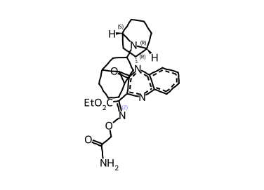 CCOC(=O)/C(=N\OCC(N)=O)c1nc2ccccc2n([C@@H]2C[C@@H]3CCC[C@H]2N3C2CC3CCCC(C3)C2)c1=O